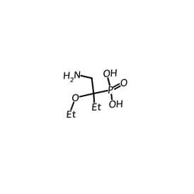 CCOC(CC)(CN)P(=O)(O)O